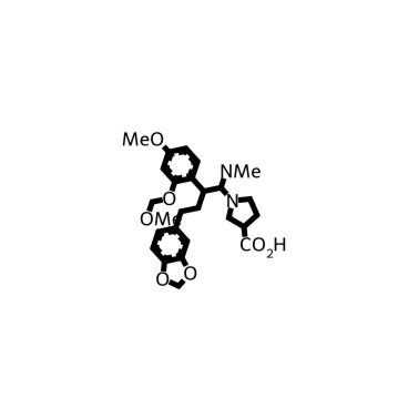 CNC(C(CCc1ccc2c(c1)OCO2)c1ccc(OC)cc1OCOC)N1CCC(C(=O)O)C1